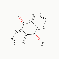 O=C1c2ccccc2C(=O)c2ccccc21.[H+]